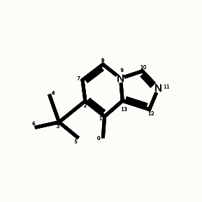 Cc1c(C(C)(C)C)ccn2cncc12